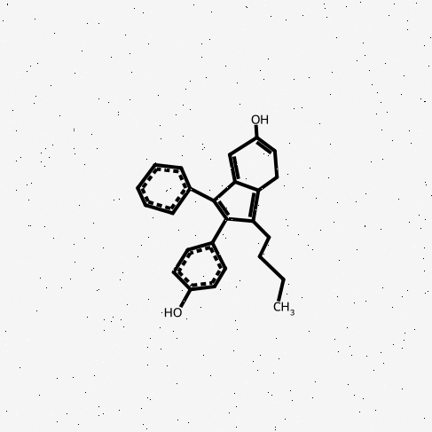 CCCCC1=C2CC=C(O)C=C2C(c2ccccc2)=C1c1ccc(O)cc1